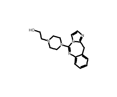 OCCN1CCN(C2=Nc3ccccc3Cc3nccn32)CC1